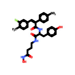 O=C(CCCNC(=O)C(Cc1ccc(O)cc1)NC(=O)/C(=C\c1ccc(C(F)(F)F)c(F)c1)c1ccc([N+](=O)[O-])cc1)NO